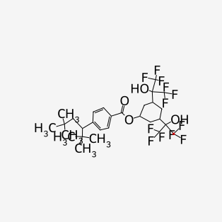 CC(C)(C)CC(c1ccc(C(=O)OC2CC(C(O)(C(F)(F)F)C(F)(F)F)CC(C(O)(C(F)(F)F)C(F)(F)F)C2)cc1)C(C)(C)C